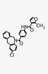 Cc1occc1C(=O)Nc1ccc(C(=O)N2Cc3ccccc3Cc3cc(Cl)ccc32)cc1